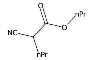 CCCOC(=O)C(C#N)CCC